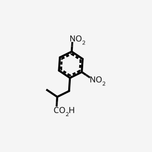 CC(Cc1ccc([N+](=O)[O-])cc1[N+](=O)[O-])C(=O)O